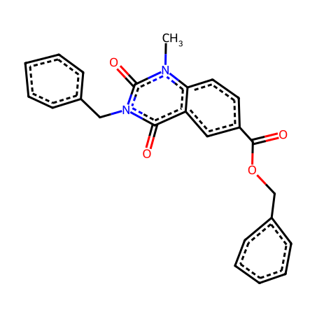 Cn1c(=O)n(Cc2ccccc2)c(=O)c2cc(C(=O)OCc3ccccc3)ccc21